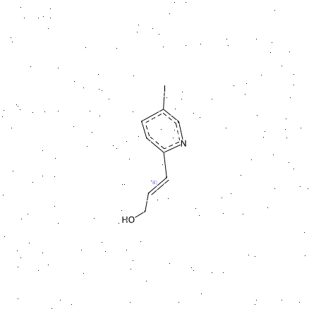 OC/C=C/c1ccc(I)cn1